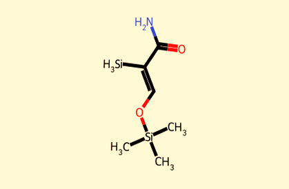 C[Si](C)(C)OC=C([SiH3])C(N)=O